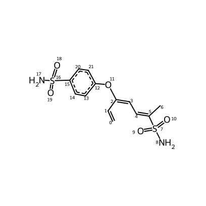 C=C/C(=C\C=C(/C)S(N)(=O)=O)Oc1ccc(S(N)(=O)=O)cc1